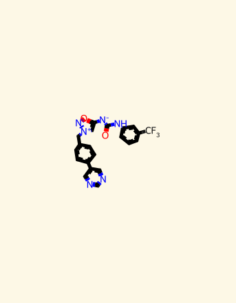 O=C([N-]c1c[n+](Cc2ccc(-c3cncnc3)cc2)no1)Nc1cccc(C(F)(F)F)c1